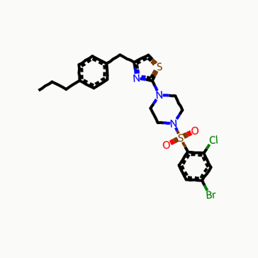 CCCc1ccc(Cc2csc(N3CCN(S(=O)(=O)c4ccc(Br)cc4Cl)CC3)n2)cc1